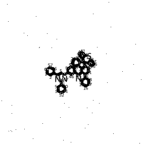 c1ccc(-c2cc(-c3cccc(-c4nc5ccccc5c5ccc6c(c45)-c4ccccc4C64c5ccccc5Sc5ccccc54)c3)nc(-c3ccccc3)n2)cc1